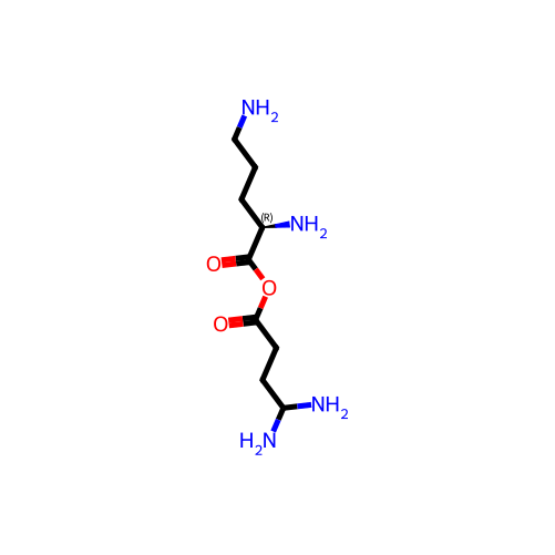 NCCC[C@@H](N)C(=O)OC(=O)CCC(N)N